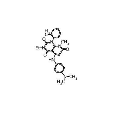 CCn1c(=O)c2c(Nc3ccc(N(C)C)cc3)cc(=O)n(C)c2n(-c2ccccc2C)c1=O